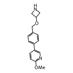 COc1ccc(-c2ccc(COC3CNC3)cc2)cn1